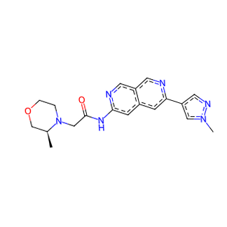 C[C@H]1COCCN1CC(=O)Nc1cc2cc(-c3cnn(C)c3)ncc2cn1